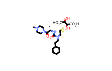 C[C@H](NC(=O)N(CCS)CCC1CCCCC1)C(=O)N1CCN(C)CC1.O=C(O)C(O)C(O)C(=O)O